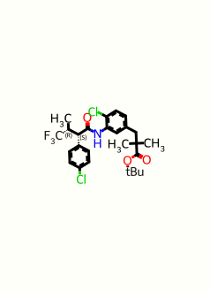 C[C@H]([C@H](C(=O)Nc1cc(CC(C)(C)C(=O)OC(C)(C)C)ccc1Cl)c1ccc(Cl)cc1)C(F)(F)F